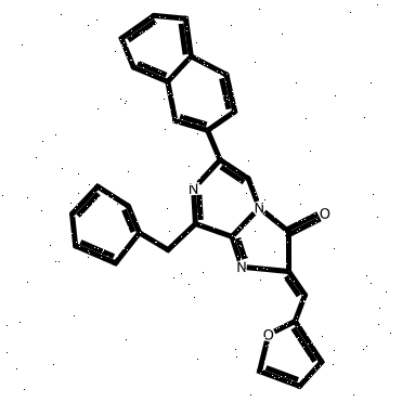 O=C1C(=Cc2ccco2)N=C2C(Cc3ccccc3)=NC(c3ccc4ccccc4c3)=CN12